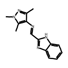 Cc1nn(C)c(C)c1/N=C/c1nc2ccccc2[nH]1